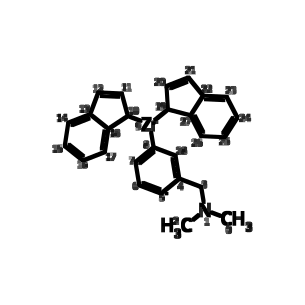 CN(C)Cc1[c]cc[c]([Zr]([CH]2C=Cc3ccccc32)[CH]2C=Cc3ccccc32)c1